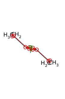 C=C(C)C(=O)OCCCCCCCCCCCCCCCCCCCCOc1ccc(C(=O)Oc2cc(F)c(OC(=O)c3ccc(OCCCCCCCCCCCCCCCCCCCCOC(=O)C(=C)C)cc3)c(F)c2F)cc1